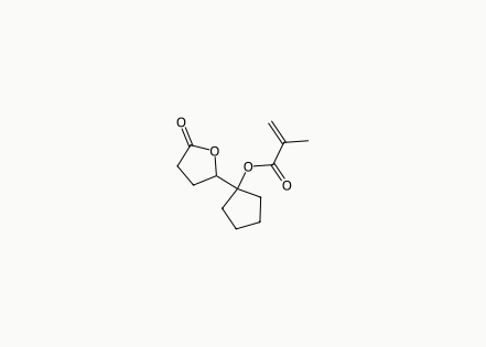 C=C(C)C(=O)OC1(C2CCC(=O)O2)CCCC1